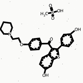 CS(=O)(=O)O.O=C(c1ccc(OCCN2CCCCC2)cc1)c1c(-c2ccc(O)cc2)sc2cc(O)ccc12